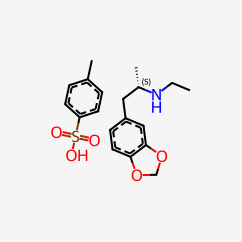 CCN[C@@H](C)Cc1ccc2c(c1)OCO2.Cc1ccc(S(=O)(=O)O)cc1